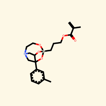 C=C(C)C(=O)OCCC[Si]12OCCN(CCO1)CC(c1cccc(C)c1)O2